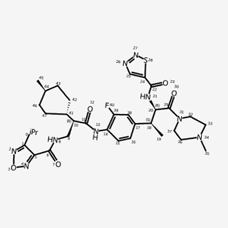 CC(C)c1nonc1C(=O)NC[C@H](C(=O)Nc1ccc([C@H](C)[C@@H](NC(=O)c2cnns2)C(=O)N2CCN(C)CC2)cc1F)[C@H]1CC[C@H](C)CC1